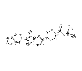 CC(C)c1c(-c2ccc3nccn3c2)[nH]c2ccc(C3CCN(C(=O)CN(C)C)CC3)cc12